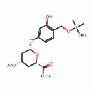 COC(=O)[C@@H]1C[C@H](OC(C)=O)C[C@H](Oc2ccc(CO[Si](C)(C)C(C)(C)C)c(O)c2)O1